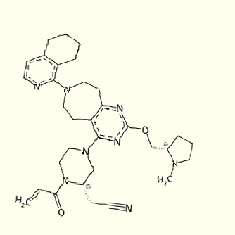 C=CC(=O)N1CCN(c2nc(OC[C@@H]3CCCN3C)nc3c2CCN(c2nccc4c2CCCC4)CC3)C[C@@H]1CC#N